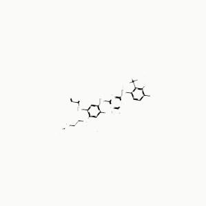 C=CC(=O)Nc1cc(Nc2ncnc(Nc3ccc(F)c(F)c3C(C)(C)O)n2)c(OC)cc1N(C)CCN(C)C